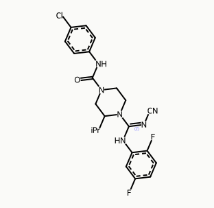 CC(C)C1CN(C(=O)Nc2ccc(Cl)cc2)CCN1/C(=N\C#N)Nc1cc(F)ccc1F